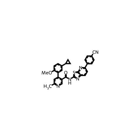 COc1ccc(C2CC2)cc1-c1cc(C)ncc1C(=O)Nc1nc2ccc(-c3ccc(C#N)cc3)nc2s1